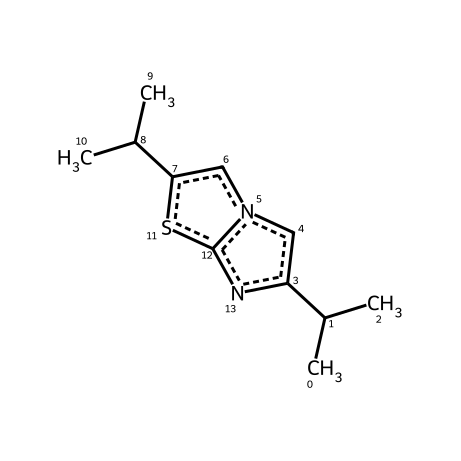 CC(C)c1cn2cc(C(C)C)sc2n1